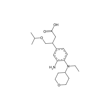 CCN(c1ccc(C(COC(C)C)CC(=O)O)cc1N)C1CCOCC1